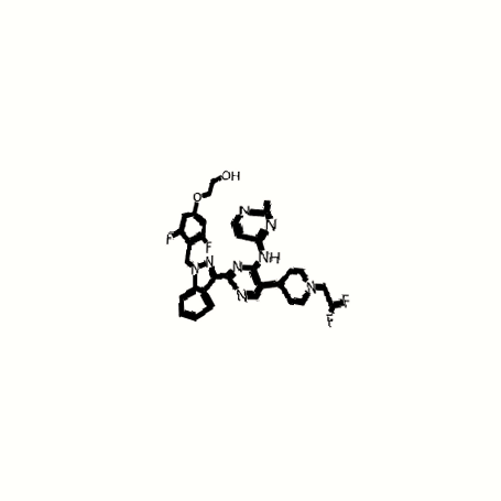 Cc1nccc(Nc2nc(-c3nn(Cc4c(F)cc(OCCO)cc4F)c4ccccc34)ncc2C2CCN(CC(F)F)CC2)n1